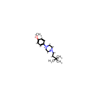 COc1ccc(N2CCN(CCC(C)(C)C)CC2)cc1